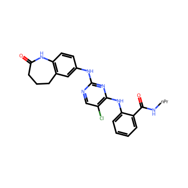 CCCNC(=O)c1ccccc1Nc1nc(Nc2ccc3c(c2)CCCC(=O)N3)ncc1Cl